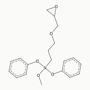 CO[Si](CCCOCC1CO1)(Oc1ccccc1)Oc1ccccc1